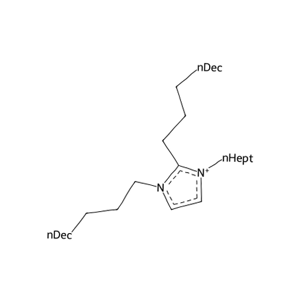 CCCCCCCCCCCCCc1n(CCCCCCCCCCCCC)cc[n+]1CCCCCCC